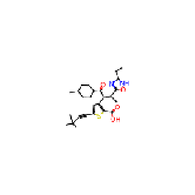 CCC1N=C(C(C)C(c2cc(C#CC(C)(C)C)sc2C(=O)O)C(=O)[C@H]2CC[C@H](C)CC2)ON1